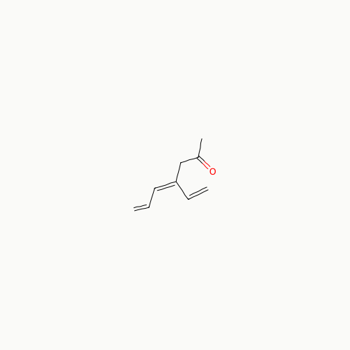 C=C/C=C(\C=C)CC(C)=O